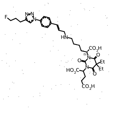 CCC1(CC)C(=O)N(C(CCC(=O)O)C(=O)O)C(=O)N([C@@H](CCCCNCC=Cc2ccc(-n3cc(CCCF)nn3)cc2)C(=O)O)C1=O